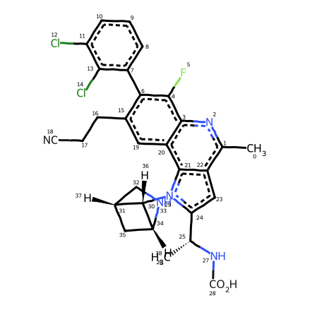 Cc1nc2c(F)c(-c3cccc(Cl)c3Cl)c(CCC#N)cc2c2c1cc([C@@H](C)NC(=O)O)n2[C@H]1[C@H]2CN[C@@H]1C2